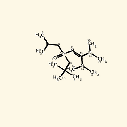 CC(C)CP(=O)(CC(C)(C)C)N=C(N(C)C)N(C)C